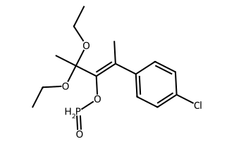 CCOC(C)(OCC)C(O[PH2]=O)=C(C)c1ccc(Cl)cc1